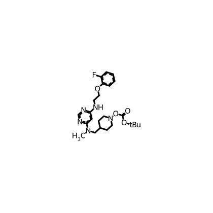 CN(CC1CCN(OC(=O)OC(C)(C)C)CC1)c1cc(NCCOc2ccccc2F)ncn1